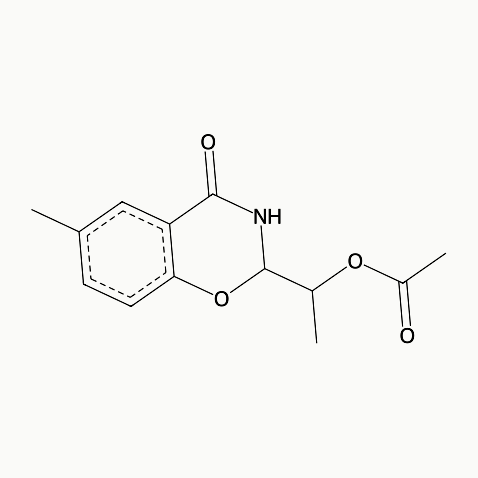 CC(=O)OC(C)C1NC(=O)c2cc(C)ccc2O1